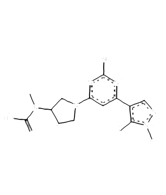 CN(C(=O)O)C1CCN(c2cc(-c3cnn(C)c3Cl)nc(N)n2)C1